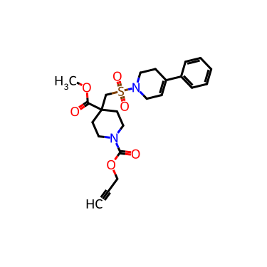 C#CCOC(=O)N1CCC(CS(=O)(=O)N2CC=C(c3ccccc3)CC2)(C(=O)OC)CC1